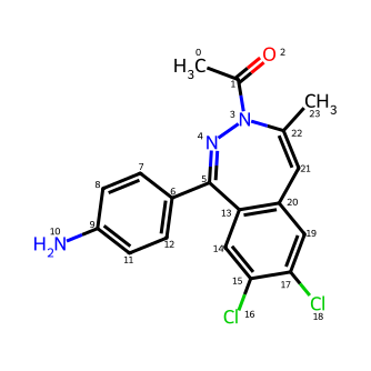 CC(=O)N1N=C(c2ccc(N)cc2)c2cc(Cl)c(Cl)cc2C=C1C